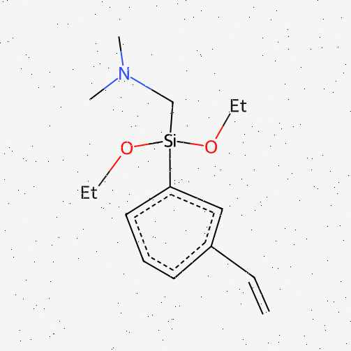 C=Cc1cccc([Si](CN(C)C)(OCC)OCC)c1